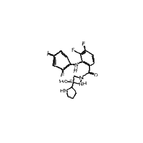 O=C(c1ccc(F)c(F)c1Nc1ccc(I)cc1F)N1C[C@@](O)(C2CCCN2)N1